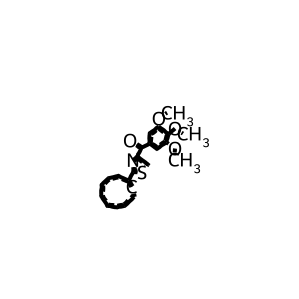 COc1cc(C(=O)c2csc(-c3ccccccccc3)n2)cc(OC)c1OC